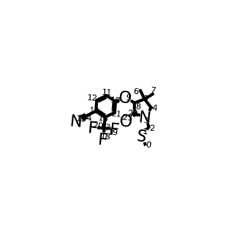 CSCN1CC(C)(C)C(Oc2ccc(C#N)c(C(F)(F)F)c2)C1=O